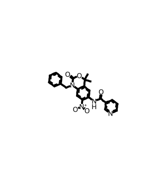 CC1(C)OC(=O)N(Cc2ccccc2)c2cc([N+](=O)[O-])c(NC(=O)c3cccnc3)cc21